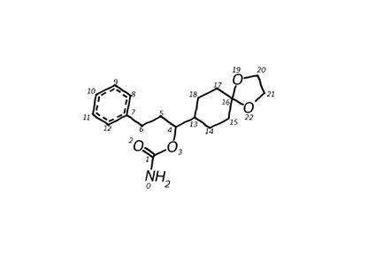 NC(=O)OC(CCc1ccccc1)C1CCC2(CC1)OCCO2